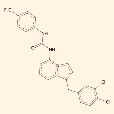 O=C(Nc1ccc(C(F)(F)F)cc1)Nc1cccc2c(Cc3ccc(Cl)c(Cl)c3)ccn12